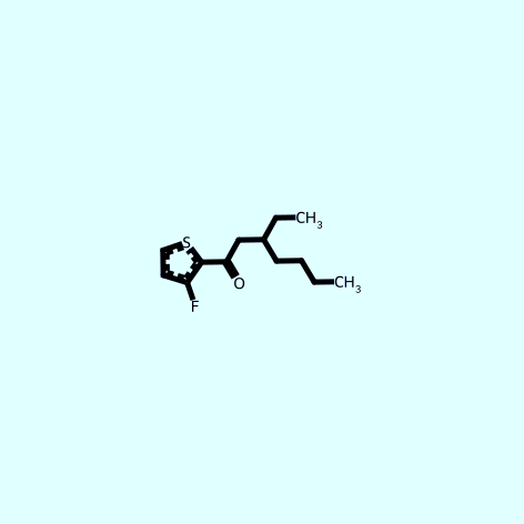 CCCCC(CC)CC(=O)c1sccc1F